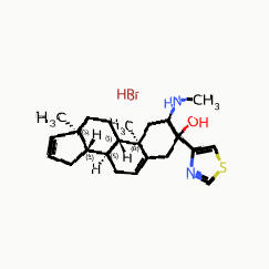 Br.CNC1C[C@@]2(C)C(=CC[C@H]3[C@@H]4CC=C[C@@]4(C)CC[C@@H]32)CC1(O)c1cscn1